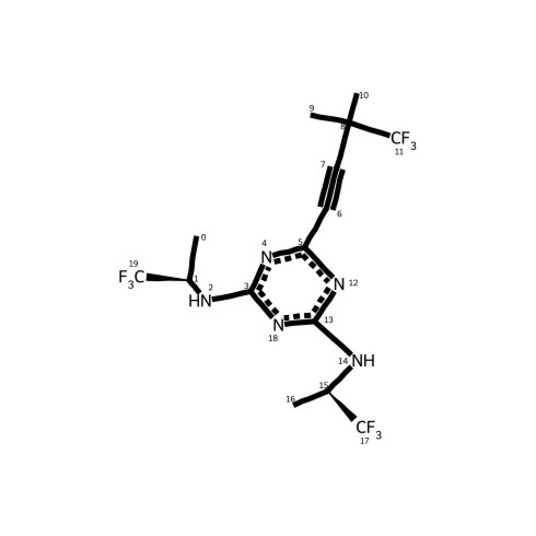 C[C@@H](Nc1nc(C#CC(C)(C)C(F)(F)F)nc(N[C@H](C)C(F)(F)F)n1)C(F)(F)F